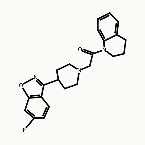 O=C(CN1CCC(c2noc3cc(F)ccc23)CC1)N1CCCc2ccccc21